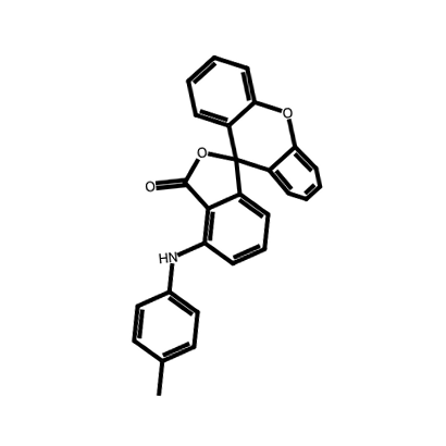 Cc1ccc(Nc2cccc3c2C(=O)OC32c3ccccc3Oc3ccccc32)cc1